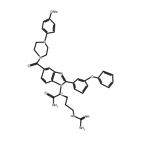 COc1ccc(N2CCN(C(=O)c3ccc4c(c3)nc(-c3cccc(Oc5ccccc5)c3)n4[C@@H](CCCNC(=N)N)C(N)=O)CC2)cc1